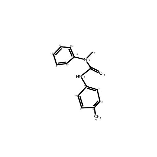 CN(C(=O)Nc1ccc(C(F)(F)F)cc1)c1ccccc1